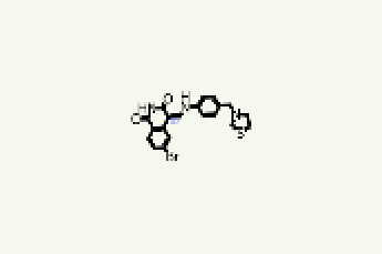 O=C1NC(=O)c2ccc(Br)cc2/C1=C/Nc1ccc(CN2CCSC2)cc1